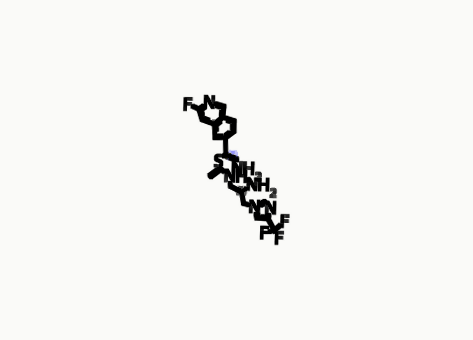 C=C(NC[C@@H](N)Cn1cnc(C(F)(F)F)c1)S/C(=C\N)c1ccc2cnc(F)cc2c1